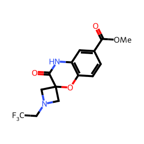 COC(=O)c1ccc2c(c1)NC(=O)C1(CN(CC(F)(F)F)C1)O2